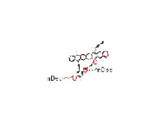 C#CC#COc1c2c(c(OC#CC#C)c3c1C1c4ccccc4C3c3cc4c(C#Cc5cc(OCCCCCCCCCCCCCC)c(C)cc5OCCCCCCCCCCCCCC)c5ccccc5c(C)c4cc31)C1c3ccccc3C2c2ccccc21